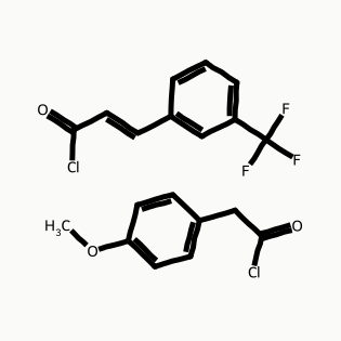 COc1ccc(CC(=O)Cl)cc1.O=C(Cl)C=Cc1cccc(C(F)(F)F)c1